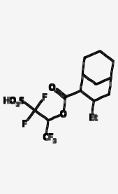 CCC1CC2CCCC(C2)C1C(=O)OC(C(F)(F)F)C(F)(F)S(=O)(=O)O